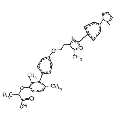 Cc1ccc(OC(C)C(=O)O)c(C)c1-c1ccc(OCCc2nc(-c3ccc(-c4cccs4)cc3)oc2C)cc1